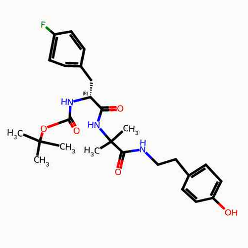 CC(C)(C)OC(=O)N[C@H](Cc1ccc(F)cc1)C(=O)NC(C)(C)C(=O)NCCc1ccc(O)cc1